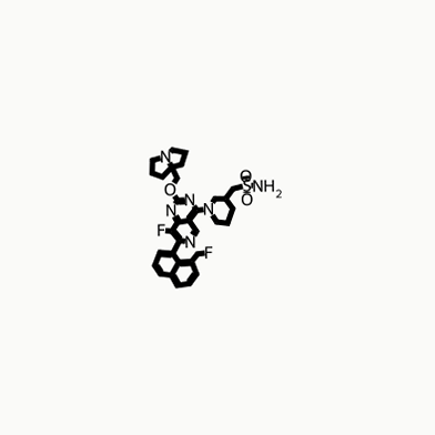 NS(=O)(=O)CC1CCCN(c2nc(OCC34CCCN3CCC4)nc3c(F)c(-c4cccc5cccc(CF)c45)ncc23)C1